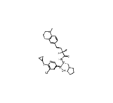 CN1CCCc2cc(CCC(F)(F)C(=O)N[C@H](CN3CCCC3)[C@H](O)c3cnc(OC4CC4)c(Cl)c3)ccc21